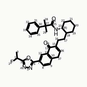 CC(F)c1nnc(-c2ccc3c(c2)C(=O)C(CCC2CCCC[C@H]2NC(=O)C(C)(C)c2ccccc2)=CC3)o1